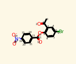 CC(=O)c1cc(Br)ccc1OC(=O)c1ccc([N+](=O)[O-])cc1